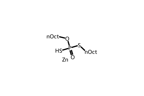 CCCCCCCCOP(=O)(S)SCCCCCCCC.[Zn]